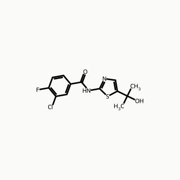 CC(C)(O)c1cnc(NC(=O)c2ccc(F)c(Cl)c2)s1